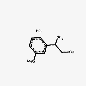 COc1cccc(C(N)CO)c1.Cl